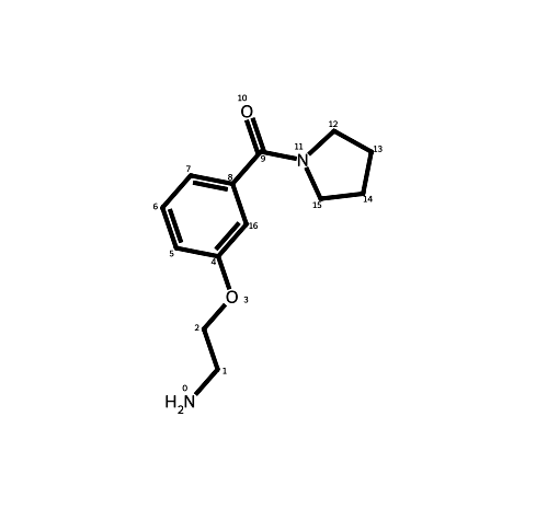 NCCOc1cccc(C(=O)N2CCCC2)c1